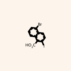 O=C(O)c1c(I)ccc2c(Br)cccc12